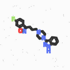 Fc1ccc2c(CCCN3CCN(c4n[nH]c5ccccc45)CC3)noc2c1